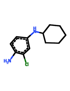 Nc1ccc(NC2CCCCC2)cc1Cl